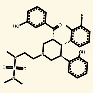 Cc1c(F)cccc1[C@H]1[C@@H](C(=O)c2cccc(O)c2)CN(CCN(C)S(=O)(=O)N(C)C)C[C@@H]1c1[c]cccc1O